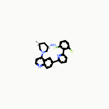 C[C@@H]1C[C@H](N)CN(c2ccnc3ccc(-c4cccc(-c5c(F)cccc5F)n4)cc23)C1